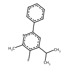 Cc1nc(-c2ccccc2)cc(C(C)C)c1F